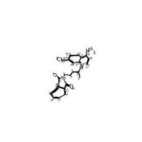 CC(CCCN1C(=O)c2ccccc2C1=O)[n+]1ccc(N)c2ccc(Cl)cc21